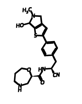 CN1Cc2cc(-c3ccc(C[C@@H](C#N)NC(=O)[C@@H]4CNCCCO4)cc3)sc2C1O